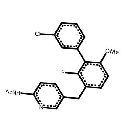 COc1ccc(Cc2ccc(NC(C)=O)nc2)c(F)c1-c1cccc(Cl)c1